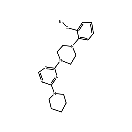 CCOc1ccccc1N1CCN(c2ncnc(N3CCCCC3)n2)CC1